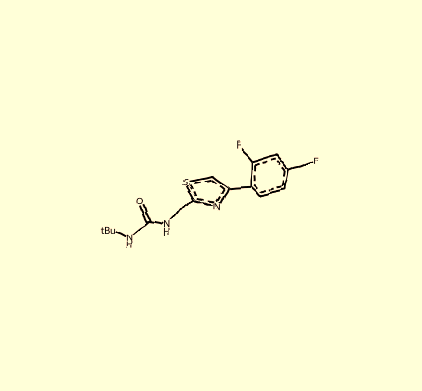 CC(C)(C)NC(=O)Nc1nc(-c2ccc(F)cc2F)cs1